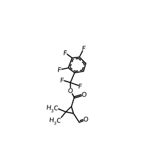 CC1(C)C(C=O)C1C(=O)OC(F)(F)c1ccc(F)c(F)c1F